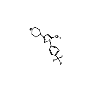 Cc1cc(C2CCNCC2)nn1-c1ccc(C(F)(F)F)cc1